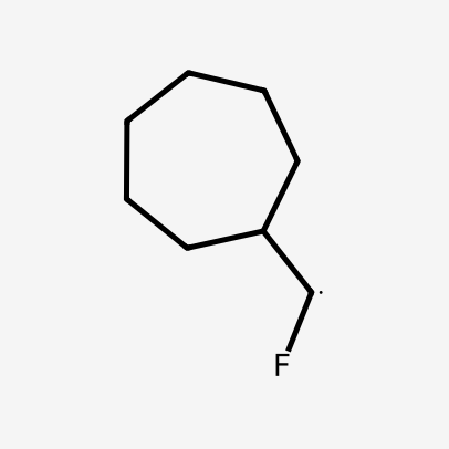 F[CH]C1CCCCCC1